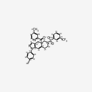 Cc1ccnc(C(=O)[C@]23Cc4cnn(-c5ccc(F)cc5)c4C=C2CCN(S(=O)(=O)c2cccc(C(F)(F)F)c2)C3)c1